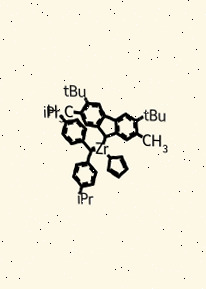 Cc1cc2c(cc1C(C)(C)C)-c1cc(C(C)(C)C)c(C)cc1[CH]2[Zr](=[C](c1ccc(C(C)C)cc1)c1ccc(C(C)C)cc1)[CH]1C=CC=C1